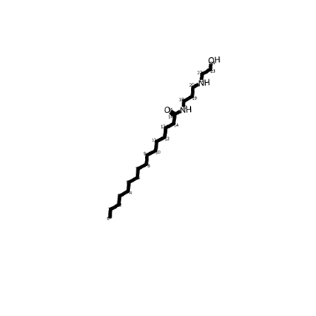 CCCCCCCCCCCCCCCC(=O)NCCCNCCO